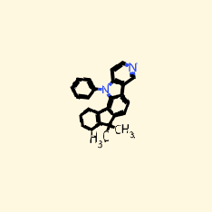 CC1(C)C2=C(CCCC2)c2c1ccc1c3cnccc3n(-c3ccccc3)c21